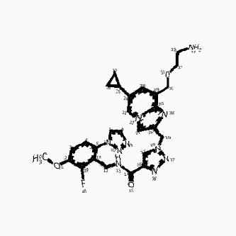 COc1ccc(-n2ccnn2)c(CNC(=O)c2cn(Cc3cn4cc(C5CC5)cc(COCCN)c4n3)nn2)c1F